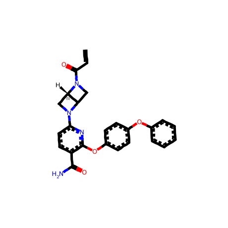 C=CC(=O)N1CC2[C@@H]1CN2c1ccc(C(N)=O)c(Oc2ccc(Oc3ccccc3)cc2)n1